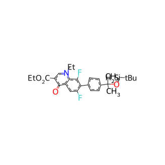 CCOC(=O)c1cn(CC)c2c(F)c(-c3ccc(C(C)(C)O[SiH2]C(C)(C)C)cc3)c(F)cc2c1=O